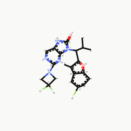 Cc1c(C(C(C)C)n2c(=O)[nH]c3cnc(N4CC(F)(F)C4)nc32)oc2ccc(F)cc12